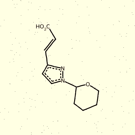 O=C(O)C=Cc1ccn(C2CCCCO2)n1